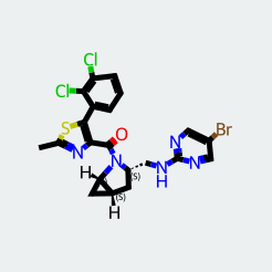 Cc1nc(C(=O)N2[C@H](CNc3ncc(Br)cn3)C[C@@H]3C[C@@H]32)c(-c2cccc(Cl)c2Cl)s1